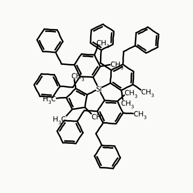 CC1=C(C)C(C)C([Si](c2c(C)c(C)cc(Cc3ccccc3)c2Cc2ccccc2)(c2c(C)c(C)cc(Cc3ccccc3)c2Cc2ccccc2)c2c(C)c(C)cc(Cc3ccccc3)c2Cc2ccccc2)=C1C